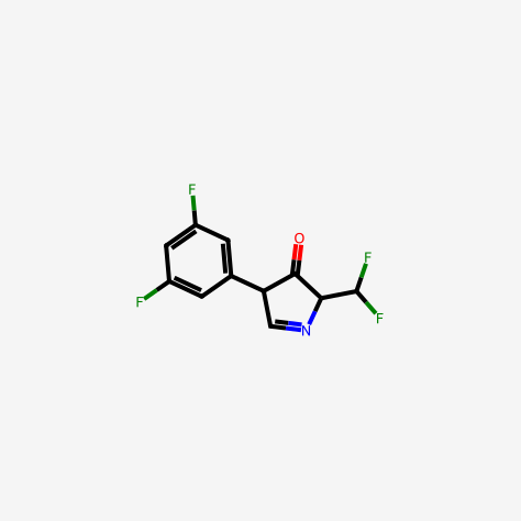 O=C1C(c2cc(F)cc(F)c2)C=NC1C(F)F